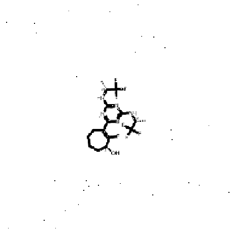 C[C@@H](Nc1nc(N[C@H](C)C(F)(F)F)nc(C2=C(F)[C@@H](O)CCCC2)n1)C(F)(F)F